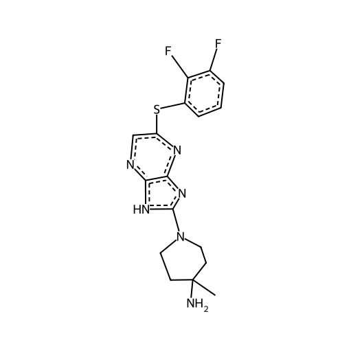 CC1(N)CCN(c2nc3nc(Sc4cccc(F)c4F)cnc3[nH]2)CC1